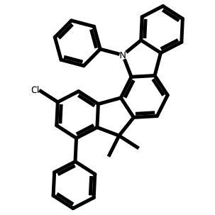 CC1(C)c2ccc3c4ccccc4n(-c4ccccc4)c3c2-c2cc(Cl)cc(-c3ccccc3)c21